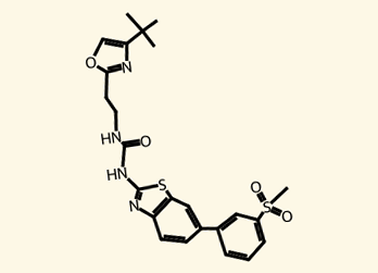 CC(C)(C)c1coc(CCNC(=O)Nc2nc3ccc(-c4cccc(S(C)(=O)=O)c4)cc3s2)n1